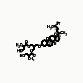 C=C(CO)C(=O)OCC(COC(=O)C(=C)CO)CO[C@H]1CC[C@@]2(C)C(=CC[C@@H]3C2CC[C@@]2(C)C3CC[C@@H]2[C@H](C)/C=C/[C@H](C)C(C)C)C1